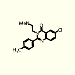 CNCCn1c(-c2ccc(C)cc2)nc2ccc(Cl)cc2c1=O